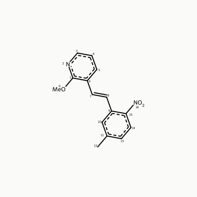 COc1ncccc1/C=C/c1cc(C)ccc1[N+](=O)[O-]